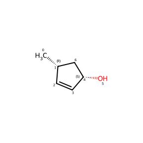 C[C@H]1C=C[C@@H](O)C1